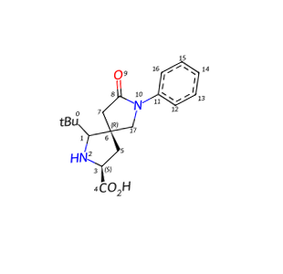 CC(C)(C)C1N[C@H](C(=O)O)C[C@]12CC(=O)N(c1ccccc1)C2